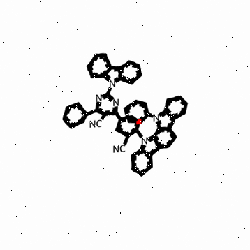 N#Cc1cc(-c2nc(-n3c4ccccc4c4ccccc43)nc(-c3ccccc3)c2C#N)ccc1-n1c2ccccc2c2ccc3c4ccccc4n(-c4ccccc4)c3c21